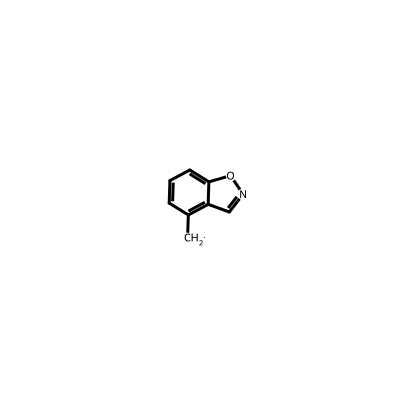 [CH2]c1cccc2oncc12